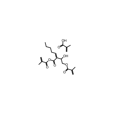 C=C(C)C(=O)O.C=C(C)C(=O)OCC(O)C(=CCCCC)C(=O)OC(=O)C(=C)C